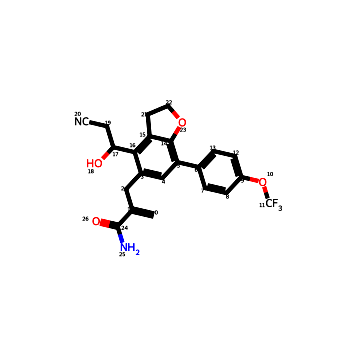 C=C(Cc1cc(-c2ccc(OC(F)(F)F)cc2)c2c(c1C(O)CC#N)CCO2)C(N)=O